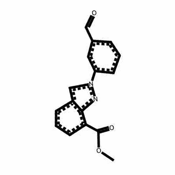 COC(=O)c1cccc2cn(-c3cccc(C=O)c3)nc12